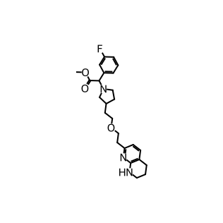 COC(=O)C(c1cccc(F)c1)N1CCC(CCOCCc2ccc3c(n2)NCCC3)C1